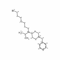 CC(C)N(CCCOCCCBr)C1CCN(Cc2ccccc2)CC1